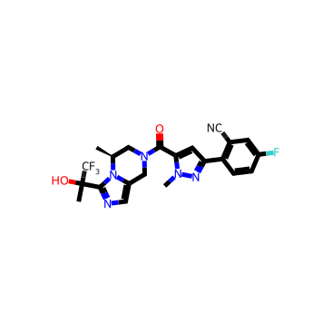 C[C@H]1CN(C(=O)c2cc(-c3ccc(F)cc3C#N)nn2C)Cc2cnc(C(C)(O)C(F)(F)F)n21